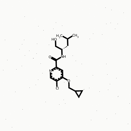 CC(C)C[C@@H](CO)NC(=O)c1cc(OCC2CC2)c(Cl)cn1